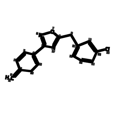 C=C1C=CC(c2noc(Cc3cccc(Cl)c3)n2)=CC1